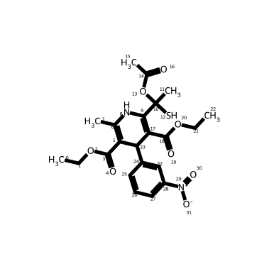 CCOC(=O)C1=C(C)NC(C(C)(S)OC(C)=O)=C(C(=O)OCC)C1c1cccc([N+](=O)[O-])c1